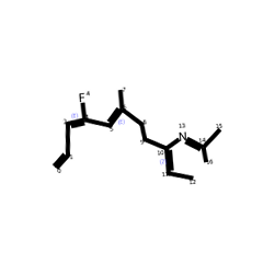 C=C/C=C(F)\C=C(/C)CC/C(=C/C)N=C(C)C